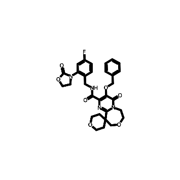 O=C(NCc1ccc(F)cc1N1CCOC1=O)c1nc2n(c(=O)c1OCc1ccccc1)CCOCC21CCOCC1